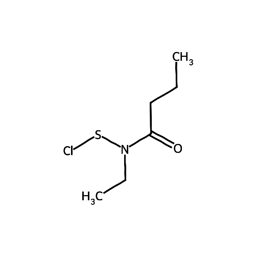 CCCC(=O)N(CC)SCl